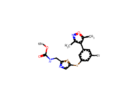 CCc1cc(Sc2cnc(CNC(=O)OC(C)(C)C)s2)cc(-c2c(C)noc2C)c1